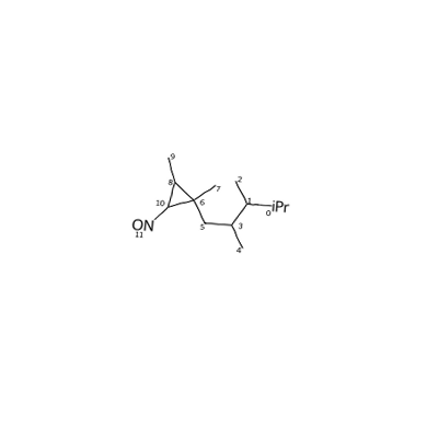 CC(C)C(C)C(C)CC1(C)C(C)C1N=O